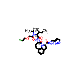 CC[C@H](C)[C@@H](C(=O)N[C@H]1CCc2cccc3c2N(C1=O)[C@H](C(=O)NCC1=CCN=N1)C3)N(C(=O)COCCF)C(C)C